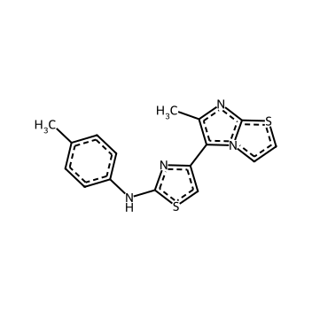 Cc1ccc(Nc2nc(-c3c(C)nc4sccn34)cs2)cc1